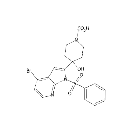 O=C(O)N1CCC(O)(c2cc3c(Br)ccnc3n2S(=O)(=O)c2ccccc2)CC1